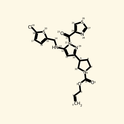 C=CCOC(=O)N1CCC(c2cc(NCc3ccc(Cl)s3)n(C(=O)c3cscn3)n2)C1